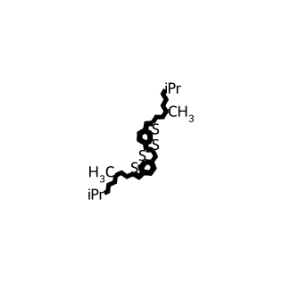 CC(C)CCCC(C)CCc1cc2ccc3c(c2s1)Sc1c(sc2c1ccc1cc(CCC(C)CCCC(C)C)sc12)C3